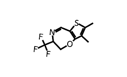 Cc1sc2c(c1C)OCC(C(F)(F)F)N=C2